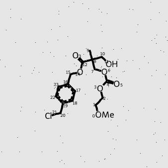 COCCOC(=O)OCC(C)(CO)C(=O)OCc1ccc(CCl)cc1